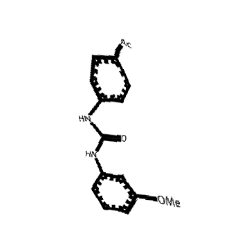 COc1cccc(NC(=O)Nc2ccc(C(C)=O)cc2)c1